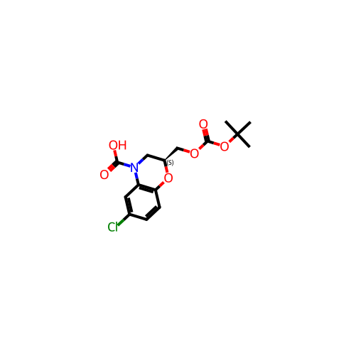 CC(C)(C)OC(=O)OC[C@@H]1CN(C(=O)O)c2cc(Cl)ccc2O1